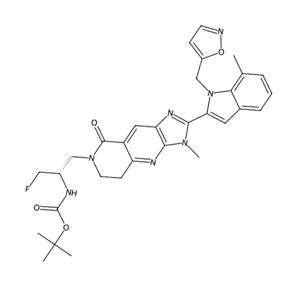 Cc1cccc2cc(-c3nc4cc5c(nc4n3C)CCN(C[C@@H](CF)NC(=O)OC(C)(C)C)C5=O)n(Cc3ccno3)c12